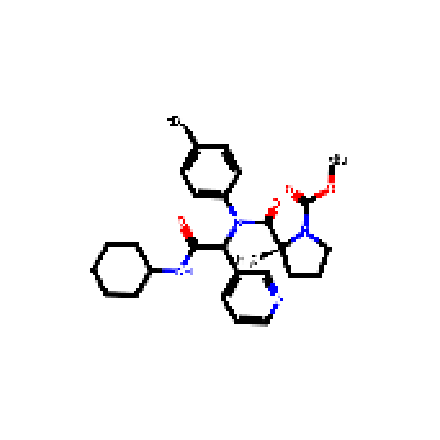 CC(C)(C)OC(=O)N1CCC[C@]1(C)C(=O)N(c1ccc(C(C)(C)C)cc1)C(C(=O)NC1CCCCC1)c1cccnc1